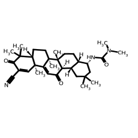 CN(C)C(=O)N[C@@H]1CC(C)(C)C[C@H]2[C@@H]1CC[C@]1(C)[C@@H]2C(=O)C=C2[C@@]3(C)C=C(C#N)C(=O)C(C)(C)[C@@H]3CC[C@]21C